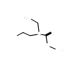 CC(C)(C)OC(=O)N(CC#N)CCC(=O)O